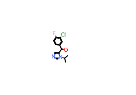 CC(C)n1cncc1C(=O)c1ccc(F)c(Cl)c1